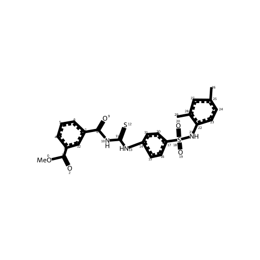 COC(=O)c1cccc(C(=O)NC(=S)Nc2ccc(S(=O)(=O)Nc3ccc(C)cc3C)cc2)c1